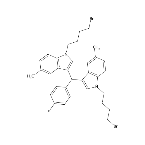 Cc1ccc2c(c1)c(C(c1ccc(F)cc1)c1cn(CCCCBr)c3ccc(C)cc13)cn2CCCCBr